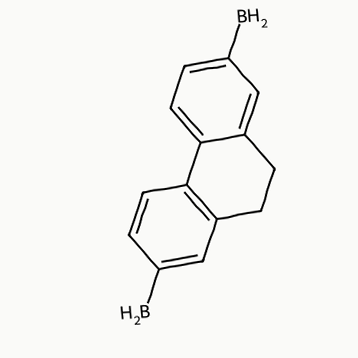 Bc1ccc2c(c1)CCc1cc(B)ccc1-2